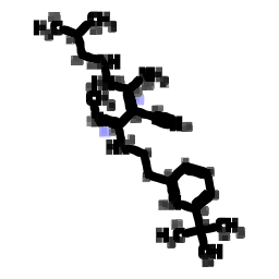 C/N=C(NCCc1cccc(C(C)(C)O)n1)\C(C#N)=C(\N)NNCC(C)C